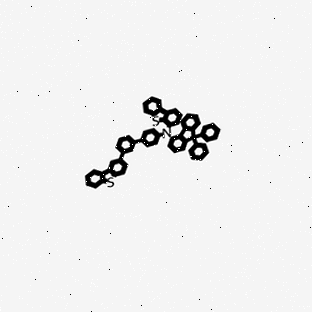 c1ccc(C2(c3ccccc3)c3ccccc3-c3c(N(c4ccc(-c5cccc(-c6ccc7sc8ccccc8c7c6)c5)cc4)c4cccc5c4sc4ccccc45)cccc32)cc1